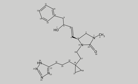 CN1C[C@H](C=CC(O)Cc2ccccc2)N(CCC2(CCCc3nnn[nH]3)CC2)C1=O